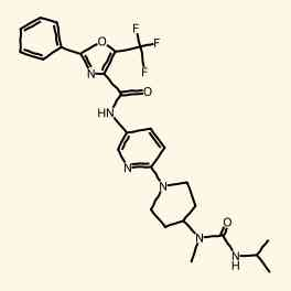 CC(C)NC(=O)N(C)C1CCN(c2ccc(NC(=O)c3nc(-c4ccccc4)oc3C(F)(F)F)cn2)CC1